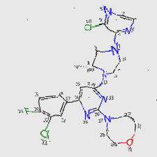 C[C@@H]1CN(c2nccnc2Cl)CCN1c1cc(-c2ccc(F)c(Cl)c2)nc(N2CCOCC2)n1